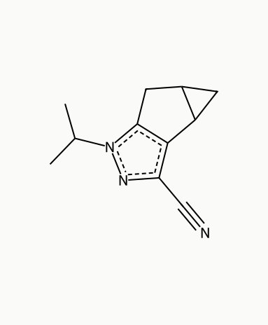 CC(C)n1nc(C#N)c2c1CC1CC21